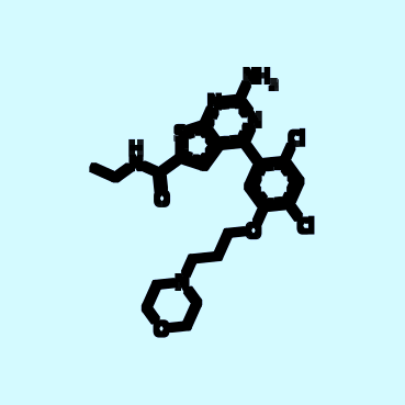 CCNC(=O)c1cc2c(-c3cc(OCCCN4CCOCC4)c(Cl)cc3Cl)nc(N)nc2s1